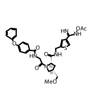 COC[C@H]1C[C@@H](C(=O)NCc2cc(C(=N)NOC(C)=O)cs2)N(C(=O)CNC(=O)c2ccc(Oc3ccccc3)cc2)C1